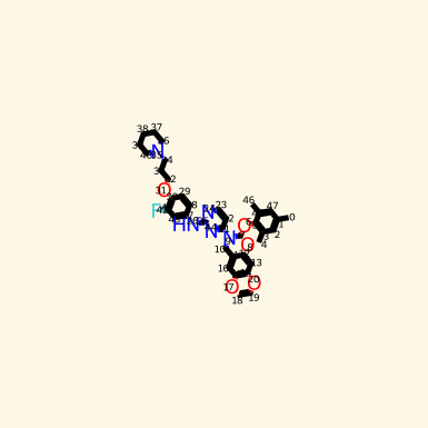 Cc1cc(C)c(OC(=O)N(Cc2ccc3c(c2)OC=CO3)c2ccnc(Nc3ccc(OCCCN4CCCCC4)c(F)c3)n2)c(C)c1